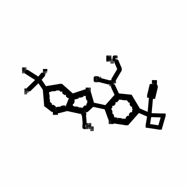 CC[S+]([O-])c1cc(C2(C#N)CCC2)cnc1-c1nc2cc(C(F)(F)F)cnc2n1C